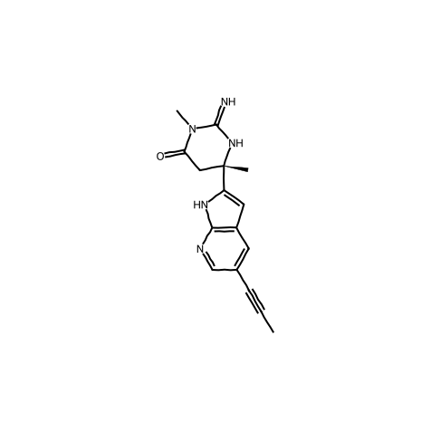 CC#Cc1cnc2[nH]c([C@]3(C)CC(=O)N(C)C(=N)N3)cc2c1